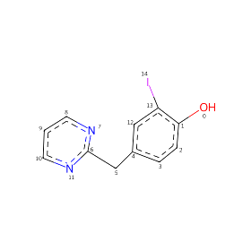 Oc1ccc(Cc2ncccn2)cc1I